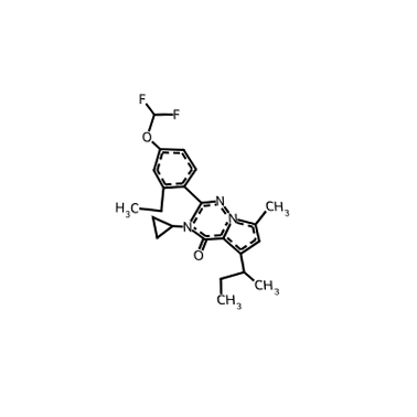 CCc1cc(OC(F)F)ccc1-c1nn2c(C)cc(C(C)CC)c2c(=O)n1C1CC1